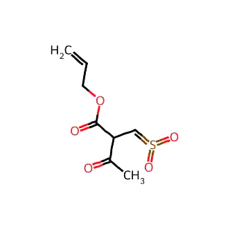 C=CCOC(=O)C(C=S(=O)=O)C(C)=O